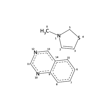 CN1C=CSC1.c1ccc2ncncc2c1